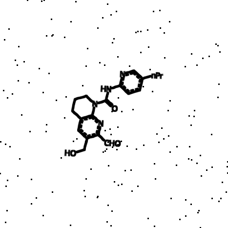 CCCc1ccc(NC(=O)N2CCCc3cc(CO)c(C=O)nc32)nc1